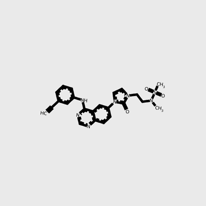 C#Cc1cccc(Nc2ncnc3ccc(-n4ccn(CCN(C)S(C)(=O)=O)c4=O)cc23)c1